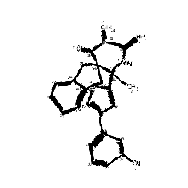 CN1C(=N)N[C@](C)(c2cc(-c3cccc(C#N)c3)cs2)C2(Cc3ccccc3C2)C1=O